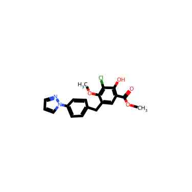 COC(=O)c1cc(Cc2ccc(-n3cccn3)cc2)c(OC)c(Cl)c1O